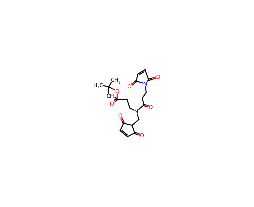 CC(C)(C)OC(=O)CCN(CC1C(=O)C=CC1=O)C(=O)CCN1C(=O)C=CC1=O